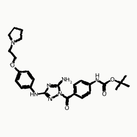 CC(C)(C)OC(=O)Nc1ccc(C(=O)n2nc(Nc3ccc(OCCN4CCCC4)cc3)nc2N)cc1